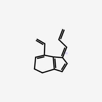 C=C/C=C1/C=CC2=C1C(C=C)=CCC2